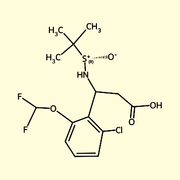 CC(C)(C)[S@+]([O-])NC(CC(=O)O)c1c(Cl)cccc1OC(F)F